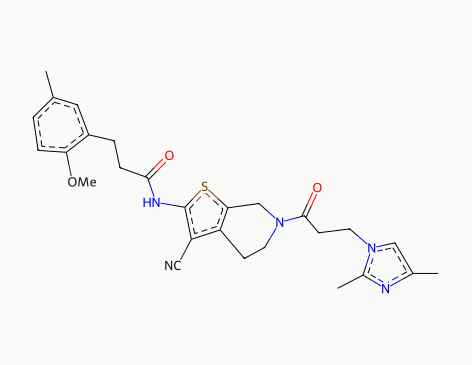 COc1ccc(C)cc1CCC(=O)Nc1sc2c(c1C#N)CCN(C(=O)CCn1cc(C)nc1C)C2